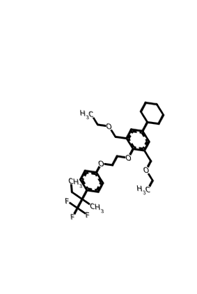 CCOCc1cc(C2CCCCC2)cc(COCC)c1OCCOc1ccc(C(C)(CC)C(F)(F)F)cc1